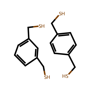 SCc1ccc(CS)cc1.SCc1cccc(CS)c1